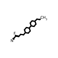 CCCC1CCC(C2CCC(CCC=C(F)C#N)CC2)CC1